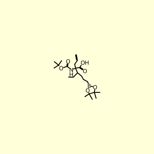 C=CCC(NC(=O)OC(C)(C)C)(C(=O)O)C(CC)CCCB1OC(C)(C)C(C)(C)O1